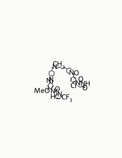 COc1cc2nn([C@H]3CC[C@H](CN(C)CCCCC4CCN(C(=O)c5ccc(Cl)c(N6CCC(=O)NC6=O)c5)CC4)CC3)cc2cc1NC(=O)c1cccc(C(F)(F)F)n1